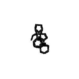 CCC1(c2ccccc2)C2CCC(C2)C12CCC(N1CCCCC1)=N2